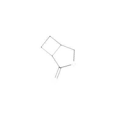 O=C1OCC2CCC12